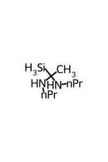 CCCNC(C)([SiH3])NCCC